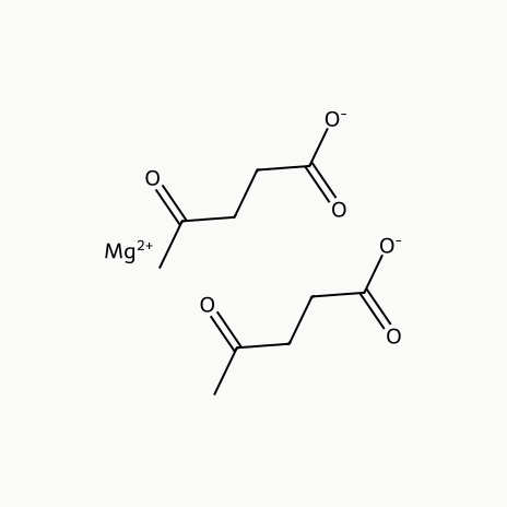 CC(=O)CCC(=O)[O-].CC(=O)CCC(=O)[O-].[Mg+2]